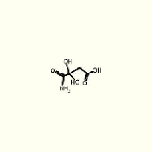 NC(=O)C(O)(O)CC(=O)O